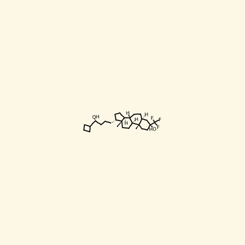 C[C@]12CC[C@@](O)(C(F)(F)F)C[C@@H]1CC[C@@H]1[C@@H]2CC[C@]2(C)[C@H](CCC[C@@H](O)C3CCC3)CC[C@@H]12